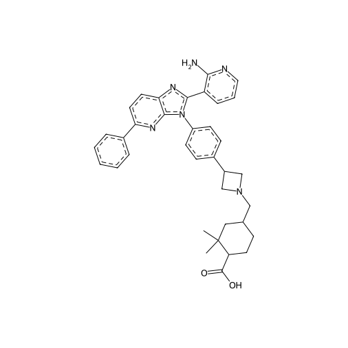 CC1(C)CC(CN2CC(c3ccc(-n4c(-c5cccnc5N)nc5ccc(-c6ccccc6)nc54)cc3)C2)CCC1C(=O)O